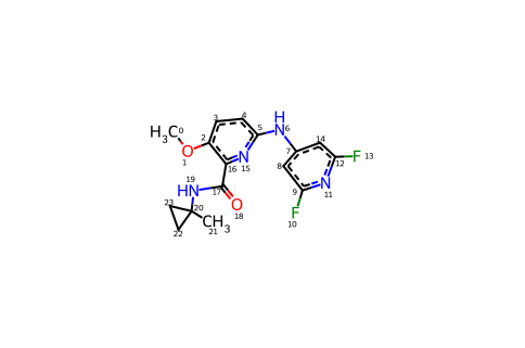 COc1ccc(Nc2cc(F)nc(F)c2)nc1C(=O)NC1(C)CC1